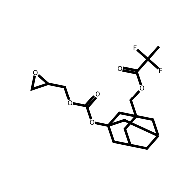 CC(F)(F)C(=O)OCC12CC3CC(C1)CC(OC(=O)OCC1CO1)(C3)C2